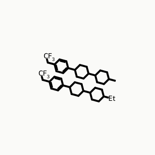 CC1CCC(C2CCC(c3ccc(CC(F)(F)F)cc3)CC2)CC1.CCC1CCC(C2CCC(c3ccc(CC(F)(F)F)cc3)CC2)CC1